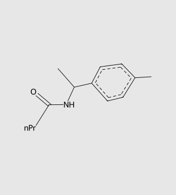 CCCC(=O)NC(C)c1ccc(C)cc1